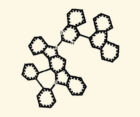 c1ccc2c(c1)-c1ccccc1-n1c3ccccc3c3cc4c(c-2c31)c1ccccc1n4-c1nc(-c2cc3ccccc3c3ccccc23)c2ccccc2n1